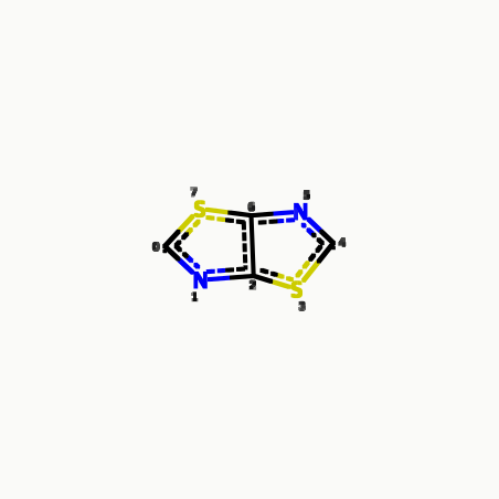 [c]1nc2s[c]nc2s1